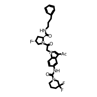 CC(=O)c1cn(CC(=O)N2C[C@H](F)C[C@H]2C(=O)NCCCc2ccccc2)c2ccc(NC(=O)N3CCCC(F)(F)C3)cc12